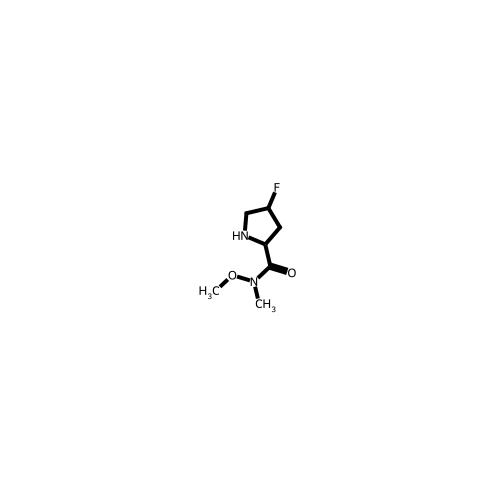 CON(C)C(=O)C1CC(F)CN1